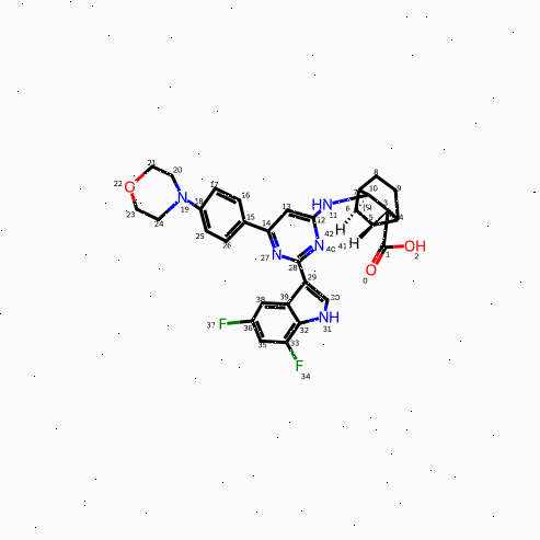 O=C(O)[C@H]1C2CCC(CC2)[C@@H]1Nc1cc(-c2ccc(N3CCOCC3)cc2)nc(-c2c[nH]c3c(F)cc(F)cc23)n1